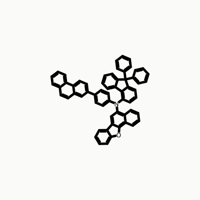 c1ccc(C2(c3ccccc3)c3ccccc3-c3c(N(c4ccc(-c5ccc6c(ccc7ccccc76)c5)cc4)c4cc5c6ccccc6oc5c5ccccc45)cccc32)cc1